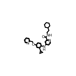 O=C(NCCC1CCCCC1)c1cc(Nc2ccc(OCc3ccccn3)cc2C2CC2)ccn1